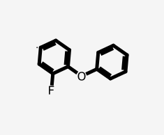 Fc1c[c]ccc1Oc1ccccc1